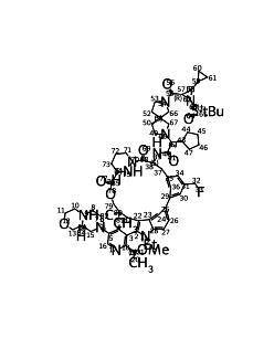 CCn1c(-c2cc(N3CCN4CCOC[C@@H]4C3)cnc2[C@H](C)OC)c2c3cc(ccc31)-c1cc(CF)cc(c1)C[C@H](NC(=O)[C@H](C1CCCC1)N1CC[C@]3(CCN(C(=O)[C@H]4[C@@H](C5CC5)N4[S@+]([O-])C(C)(C)C)C3)C1)C(=O)N1CCC[C@H](N1)C(=O)OCC(C)(C)C2